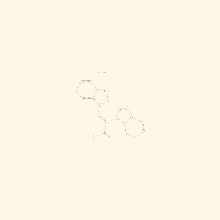 O=CNC(=O)/C(=C/c1cn2c3c(cccc13)CCC2)c1c[nH]c2ccccc12